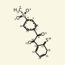 CS(=O)(=O)c1ccc(C(=O)C(=O)C2=CC=CCC2=S)cc1